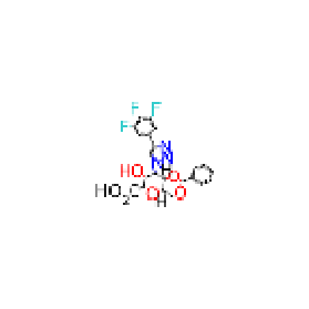 O=C(O)[C@@H]1O[C@@H]2COC(c3ccccc3)O[C@@H]2[C@H](n2cc(-c3cc(F)c(F)c(F)c3)nn2)[C@H]1O